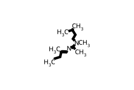 CCC/C(C)=C/N=C(\C)N(C)CCC(C)C